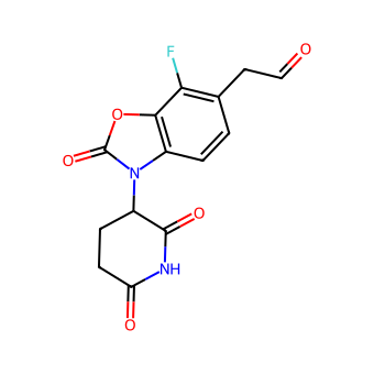 O=CCc1ccc2c(oc(=O)n2C2CCC(=O)NC2=O)c1F